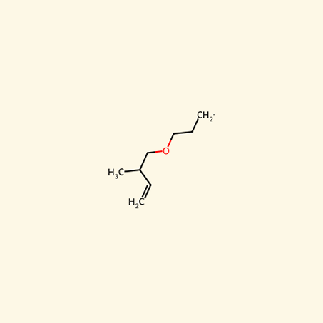 [CH2]CCOCC(C)C=C